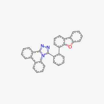 c1ccc(-c2nnc3c4ccccc4c4ccccc4n23)c(-c2cccc3c2oc2ccccc23)c1